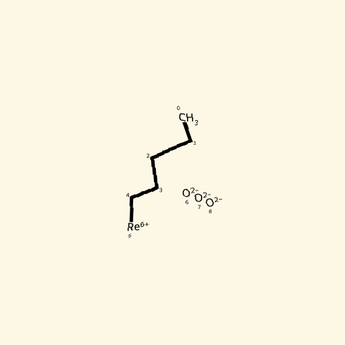 CCCC[CH2][Re+6].[O-2].[O-2].[O-2]